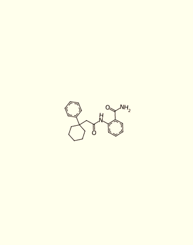 NC(=O)c1ccccc1NC(=O)CC1(c2ccccc2)CCCCC1